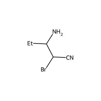 CCC(N)C(Br)C#N